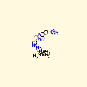 BC(B)(B)N1CCN(c2cc(C(=O)Nc3cc4cc(-c5cn[nH]c5)ccc4cn3)ccn2)CC1